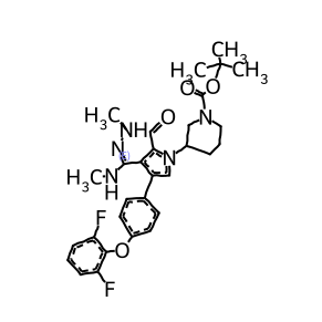 CN/N=C(/NC)c1c(-c2ccc(Oc3c(F)cccc3F)cc2)cn(C2CCCN(C(=O)OC(C)(C)C)C2)c1C=O